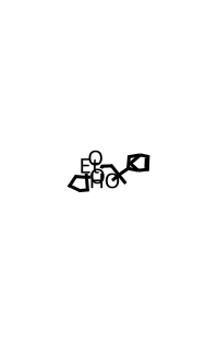 CCC1(OC(=O)CC(C)(O)C2CC3C=CC2C3)CCCC1